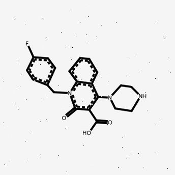 O=C(O)c1c(N2CCNCC2)c2ccccc2n(Cc2ccc(F)cc2)c1=O